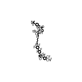 Cc1ncsc1-c1ccc(CNC(=O)C2CCCN2C(=O)C(NC(=O)COCCCCCOc2c(F)cc(-c3ncc(N4C(=S)N(c5ccc(C#N)c(C(F)(F)F)c5F)C(=O)C4(C)C)cc3F)cc2F)C(C)(C)C)cc1